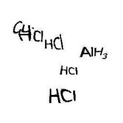 Cl.Cl.Cl.Cl.[AlH3].[Cu]